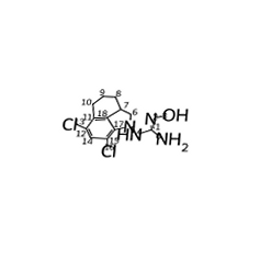 NC(=NO)NN1CC2CCCc3c(Cl)cc(Cl)c1c32